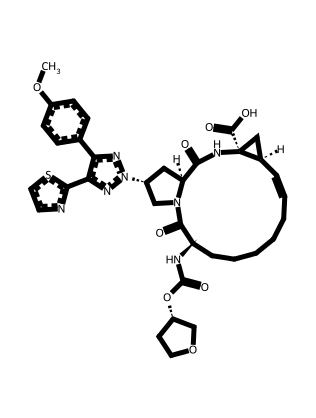 COc1ccc(-c2nn([C@@H]3C[C@H]4C(=O)N[C@@]5(C(=O)O)C[C@H]5/C=C\CCCCC[C@@H](NC(=O)O[C@H]5CCOC5)C(=O)N4C3)nc2-c2nccs2)cc1